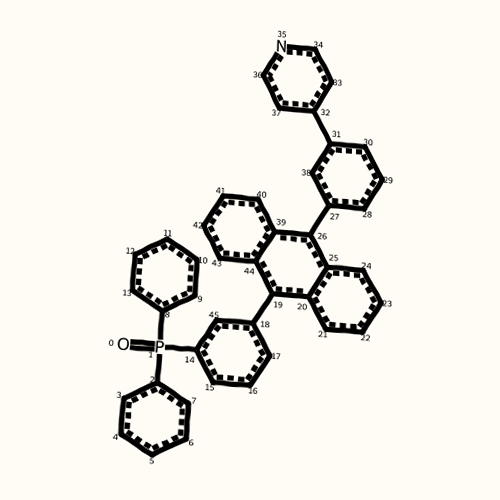 O=P(c1ccccc1)(c1ccccc1)c1cccc(-c2c3ccccc3c(-c3cccc(-c4ccncc4)c3)c3ccccc23)c1